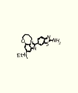 CCN(C)c1cc2c3c(c1)nc(-c1ccc4nc(N)sc4c1)n3CCCCO2